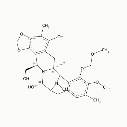 COCOc1c(OC)c(C)cc2c1C1[C@@H]3Cc4c(O)c(C)c5c(c4[C@H](CO)N3[C@@H](O)C(C2)N1C)OCO5